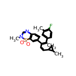 C/C(=C(\C=C/C1CC1C)c1ccc2c(c1)S(=O)(=O)N(C)C=N2)c1ccc(F)c(C)c1